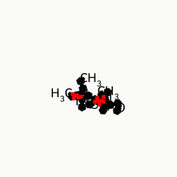 Cc1ccc(-c2cc3c(cc2-c2ccc(-c4ccc(-n5c6ccc(-c7cccc(C)c7)cc6c6cc(-c7cccc(C)c7)ccc65)c(-c5nc(-c6ccccc6)nc(-c6ccccc6)n5)c4)c4c2oc2ccccc24)c2ccccc2n3-c2ccc(-c3cccc4oc5ccccc5c34)cc2-c2nc(-c3ccccc3)nc(-c3ccccc3)n2)cc1